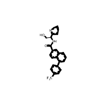 O=C(N[C@@H](CO)c1ccccn1)c1ccc2c(-c3ccc(C(F)(F)F)cc3)cccc2c1